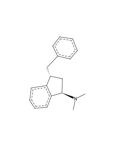 CN(C)[C@@H]1C[C@@H](Cc2ccccc2)c2ccccc21